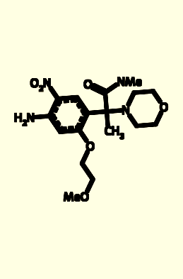 CNC(=O)C(C)(c1cc([N+](=O)[O-])c(N)cc1OCCOC)N1CCOCC1